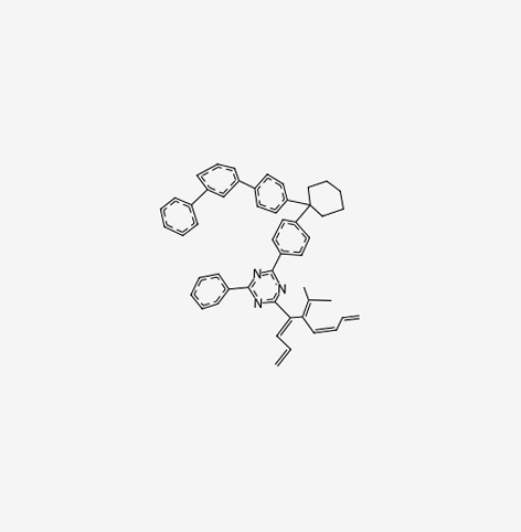 C=C/C=C\C(=C(C)C)/C(=C\C=C)c1nc(-c2ccccc2)nc(-c2ccc(C3(c4ccc(-c5cccc(-c6ccccc6)c5)cc4)CCCCC3)cc2)n1